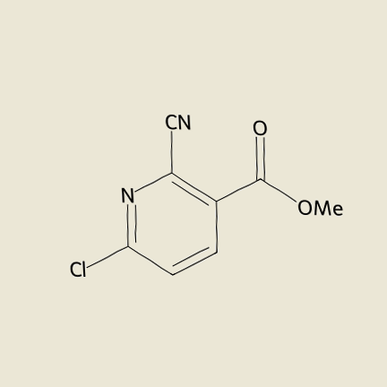 COC(=O)c1ccc(Cl)nc1C#N